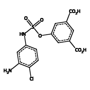 Nc1cc(NS(=O)(=O)Oc2cc(C(=O)O)cc(C(=O)O)c2)ccc1Cl